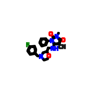 Cn1c(=O)c(C#N)c(NCC2CN(Cc3ccc(F)cc3)CCO2)n(-c2ccccc2)c1=O